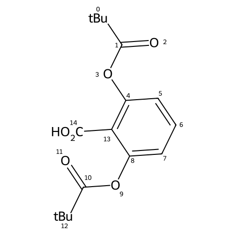 CC(C)(C)C(=O)Oc1cccc(OC(=O)C(C)(C)C)c1C(=O)O